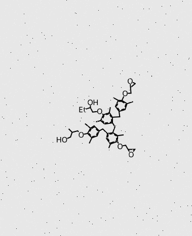 CCC(O)COc1c(C)cc(Cc2c(Cc3cc(C)c(OCC(C)CO)c(C)c3)cc(C)c(OCC3CO3)c2C)c(Cc2cc(C)c(OCC3CO3)c(C)c2)c1C